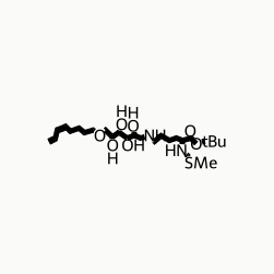 C=C/C=C\CCCCOCC(O)C(O)C(O)C(O)CNCCCCC(NCSC)C(=O)OC(C)(C)C